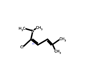 CC(C)=C/C=C(/Cl)N(C)C